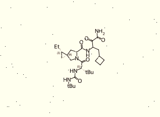 CC[C@H]1C[C@@]12CC(C(=O)NC(CC1CCC1)C(=O)C(N)=O)N(C(=O)[C@@H](NC(=O)NC(C)(C)C)C(C)(C)C)C2